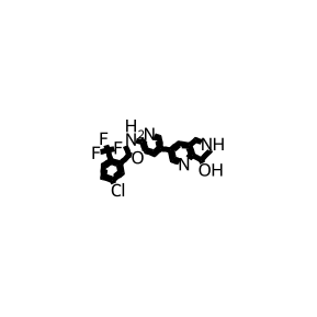 CC(Oc1cc(-c2cnc3c(c2)CNCC3O)cnc1N)c1cc(Cl)ccc1C(F)(F)F